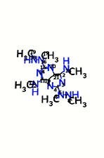 CNc1nc(N(C)NC)nc2c(NC)nc(N(C)NC)nc12